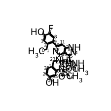 CCc1cc(O)c(F)cc1-c1cc2[nH]nc(C(=O)NC)c2c(NCc2ccc(O)cc2N(C)S(C)(=O)=O)n1